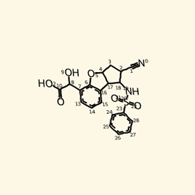 N#CC1CC2Oc3c(C(O)C(=O)O)cccc3C2C1NS(=O)(=O)c1ccccc1